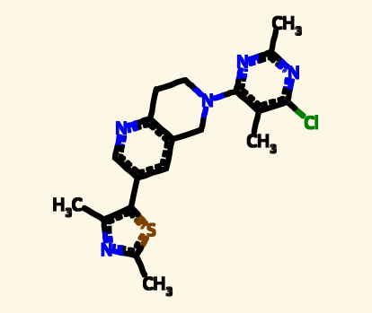 Cc1nc(Cl)c(C)c(N2CCc3ncc(-c4sc(C)nc4C)cc3C2)n1